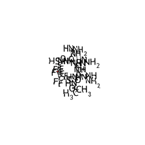 CC(C)C(=O)CNC(=O)C1CSc2c(F)c(F)c(c(F)c2F)-c2c(F)c(F)c(c(F)c2F)SC(NS)C(=O)NC(CCCNC(=N)N)C(=O)NC(CCCNC(=N)N)C(=O)NC(CCCNC(=N)N)C(=O)N1